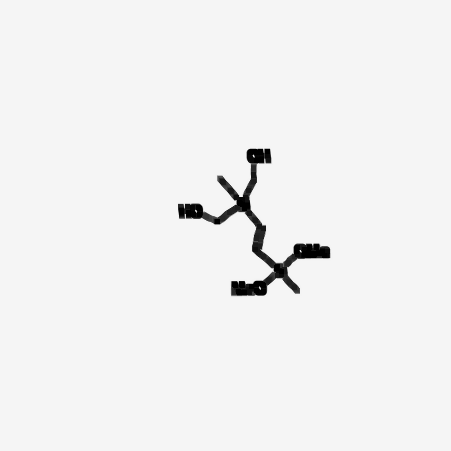 CO[Si](C)(C=C[Si](C)(CO)CO)OC